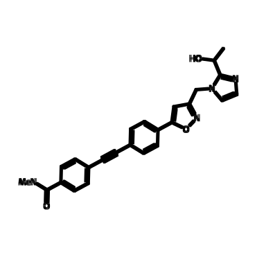 CNC(=O)c1ccc(C#Cc2ccc(-c3cc(Cn4ccnc4C(C)O)no3)cc2)cc1